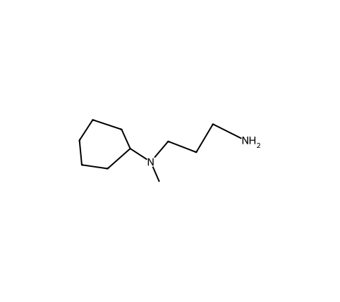 CN(CCCN)C1CCCCC1